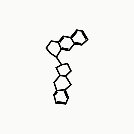 [CH]1C2Cc3ccccc3CC2CCC1C1CCCc2cc3ccccc3cc21